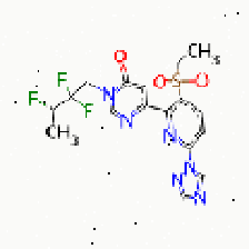 CCS(=O)(=O)c1ccc(-n2cncn2)nc1-c1cc(=O)n(CC(F)(F)C(C)F)cn1